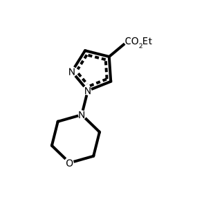 CCOC(=O)c1cnn(N2CCOCC2)c1